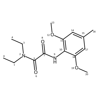 CCN(CC)C(=O)C(=O)Nc1c(OC)cc(C)cc1OC